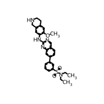 CCN(CC)S(=O)(=O)c1cccc(-c2ccc3cnc(Nc4cc5c(cc4OC)CCNC5)nc3c2)c1